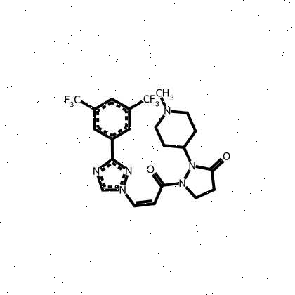 CN1CCC(N2C(=O)CCN2C(=O)/C=C\n2cnc(-c3cc(C(F)(F)F)cc(C(F)(F)F)c3)n2)CC1